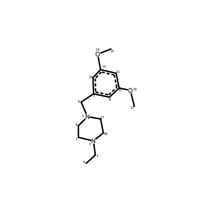 CCN1CCN(Cc2cc(OC)cc(OC)c2)CC1